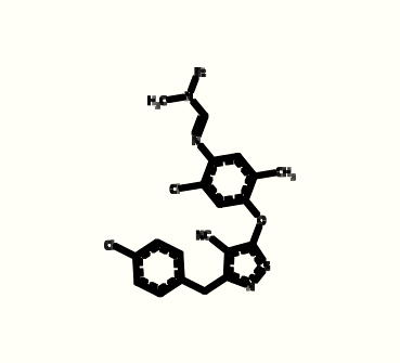 CCN(C)C=Nc1cc(C)c(Oc2snc(Cc3ccc(Cl)cc3)c2C#N)cc1Cl